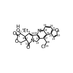 CC[C@@]1(O)C(=O)OCc2c1cc1n(c2=O)Cc2c-1nc1ccc3occc3c1c2CCl